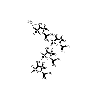 C=C(C)OP(=O)([O-])C(O)P(=O)([O-])[O-].C=C(C)OP(=O)([O-])C(O)P(=O)([O-])[O-].C=C(C)OP(=O)([O-])C(O)P(=O)([O-])[O-].C=C(C)OP(=O)([O-])C(O)P(=O)([O-])[O-].[Zr+4].[Zr+4].[Zr+4]